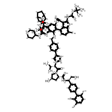 CC(C)[C@@H](C(=O)N1C[C@H](O)C[C@H]1C(=O)N[C@@H](CO)c1ccc(-c2c(F)ccc(F)c2F)cc1)n1cc(-c2ccc(COc3c(-c4ccc(F)c5sc(NC(=O)OC(C)(C)C)c(C#N)c45)c(Cl)cc4c(N5CC6CCC(C5)N6C(=O)OC(C)(C)C)nc(OC5CCOCC5)nc34)cc2)nn1